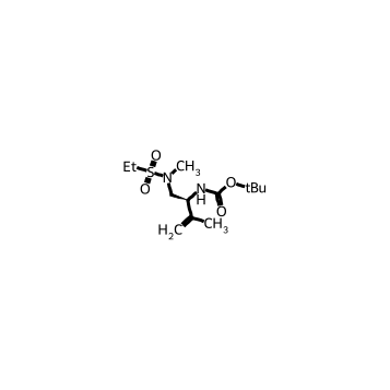 C=C(C)[C@@H](CN(C)S(=O)(=O)CC)NC(=O)OC(C)(C)C